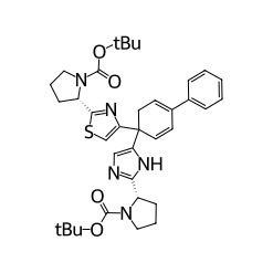 CC(C)(C)OC(=O)N1CCC[C@H]1c1ncc(C2(c3csc([C@@H]4CCCN4C(=O)OC(C)(C)C)n3)C=CC(c3ccccc3)=CC2)[nH]1